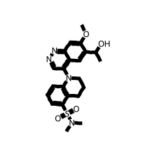 COc1cc2nncc(N3CCCc4c3cccc4S(=O)(=O)N(C)C)c2cc1C(C)O